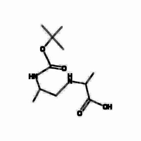 CC(CNC(C)C(=O)O)NC(=O)OC(C)(C)C